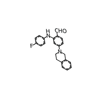 O=Cc1ccc(N2CCc3ccccc3C2)cc1Nc1ccc(F)cc1